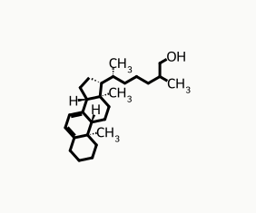 CC(CO)CCC[C@@H](C)[C@H]1CC[C@H]2C3=CC=C4CCCC[C@]4(C)[C@H]3CC[C@]12C